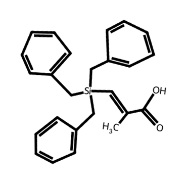 C/C(=C\[Si](Cc1ccccc1)(Cc1ccccc1)Cc1ccccc1)C(=O)O